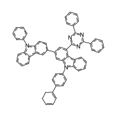 C1=CCCC(c2ccc(-n3c4ccccc4c4c(-c5nc(-c6ccccc6)nc(-c6ccccc6)n5)cc(-c5ccc6c(c5)c5ccccc5n6-c5ccccc5)cc43)cc2)=C1